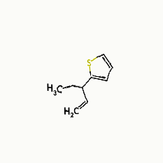 C=CC(CC)c1cccs1